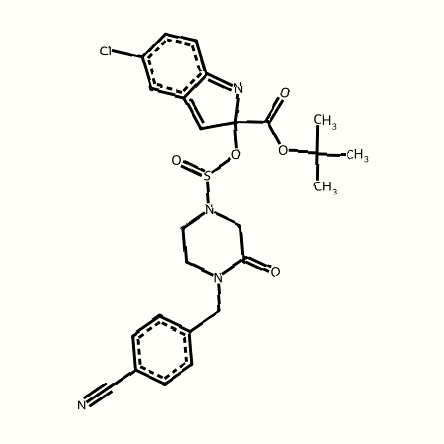 CC(C)(C)OC(=O)C1(OS(=O)N2CCN(Cc3ccc(C#N)cc3)C(=O)C2)C=c2cc(Cl)ccc2=N1